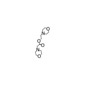 O=C(CN1CCOCC1)OCCN1CCOCC1